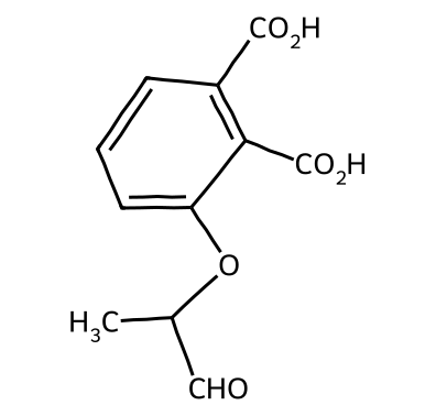 CC(C=O)Oc1cccc(C(=O)O)c1C(=O)O